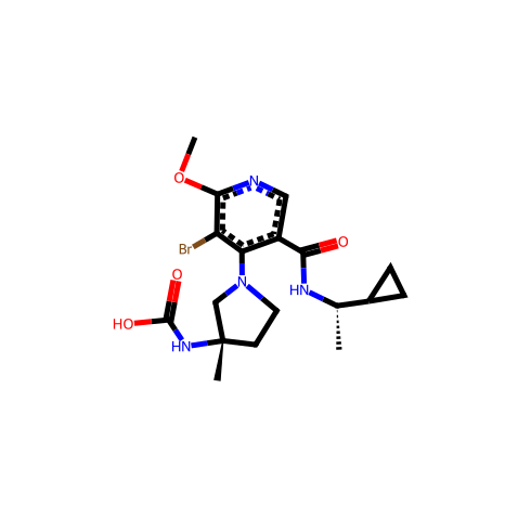 COc1ncc(C(=O)N[C@@H](C)C2CC2)c(N2CC[C@](C)(NC(=O)O)C2)c1Br